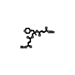 COC(=O)/C=C/C(=O)OC[C@](C)(CN1CCOCC1)OC(=O)/C=C/C(=O)OC